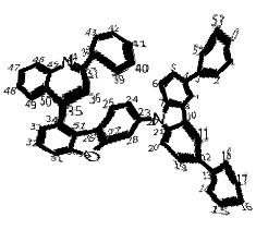 c1ccc(-c2ccc3c(c2)c2cc(-c4ccccc4)ccc2n3-c2ccc3c(c2)oc2cccc(-c4cc(-c5ccccc5)nc5ccccc45)c23)cc1